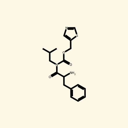 CC(C)CN(C(=O)OCc1cncs1)C(=O)C(N)Cc1ccccc1